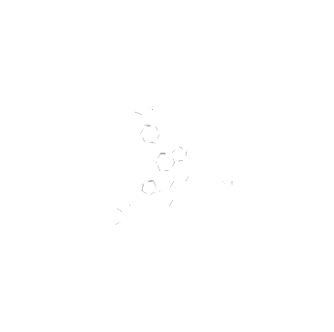 C=CC(=O)N1CCc2nc(-c3nc(-c4ccc5c(c4)CNC5=O)c4ccsc4c3/C(C(=C)OCCOC)=C(F)/C=C/F)sc2C1